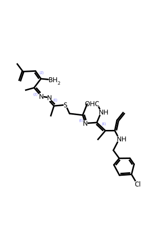 BC(=C/C(=C)C)/C(C)=N\N=C(/C)SC/C(C)=N/C(NC=O)=C(\C)C(=C=C)NCc1ccc(Cl)cc1